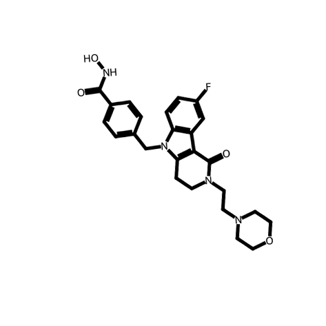 O=C(NO)c1ccc(Cn2c3c(c4cc(F)ccc42)C(=O)N(CCN2CCOCC2)CC3)cc1